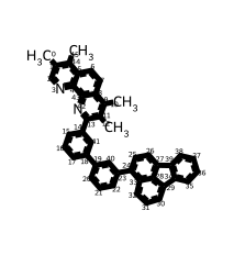 Cc1cnc2c(ccc3c(C)c(C)c(-c4cccc(-c5cccc(-c6ccc7c8c(cccc68)-c6ccccc6-7)c5)c4)nc32)c1C